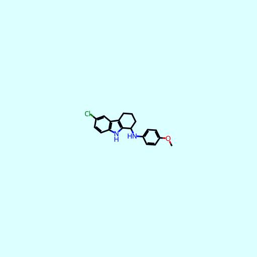 COc1ccc(NC2CCCc3c2[nH]c2ccc(Cl)cc32)cc1